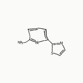 CCCc1cccc(-c2nccs2)n1